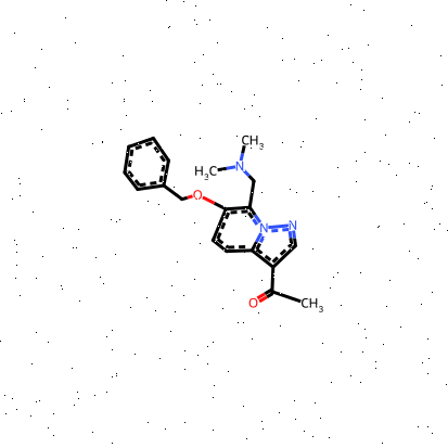 CC(=O)c1cnn2c(CN(C)C)c(OCc3ccccc3)ccc12